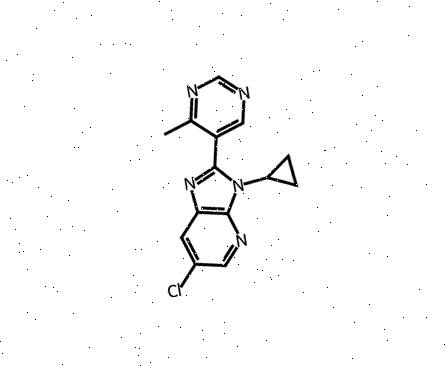 Cc1ncncc1-c1nc2cc(Cl)cnc2n1C1CC1